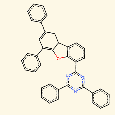 C1=C(c2ccccc2)CC2C(=C1c1ccccc1)Oc1c(-c3nc(-c4ccccc4)nc(-c4ccccc4)n3)cccc12